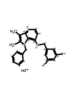 Cc1c(C)n(Cc2ccccc2)c2c(OCc3cc(F)cc(F)c3)ccnc12.Cl